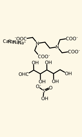 O=C([O-])CN(CCN(CC(=O)[O-])CC(=O)[O-])CC(=O)[O-].O=CC(O)C(O)C(O)C(O)CO.O=S([O-])O.[Ca+2].[Na+].[Na+].[Na+]